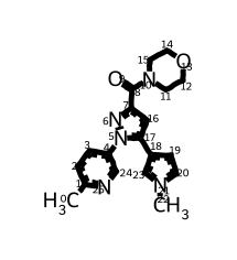 Cc1ccc(-n2nc(C(=O)N3CCOCC3)cc2-c2ccn(C)c2)cn1